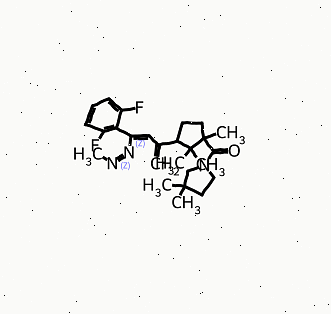 C=C(/C=C(\N=N/C)c1c(F)cccc1F)C1CCC(C)(C(=O)N2CCC(C)(C)C2)C1(C)C